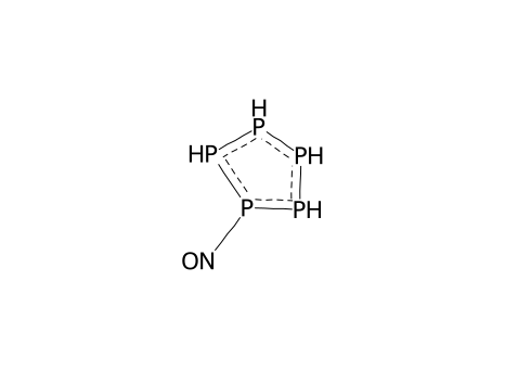 O=Np1[pH][pH][pH][pH]1